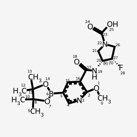 COc1ncc(B2OC(C)(C)C(C)(C)O2)cc1C(=O)N[C@@H]1CN(C(=O)O)C[C@@H]1F